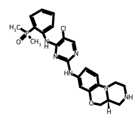 CP(C)(=O)c1ccccc1Nc1nc(Nc2ccc3c(c2)OC[C@H]2CNCCN32)ncc1Cl